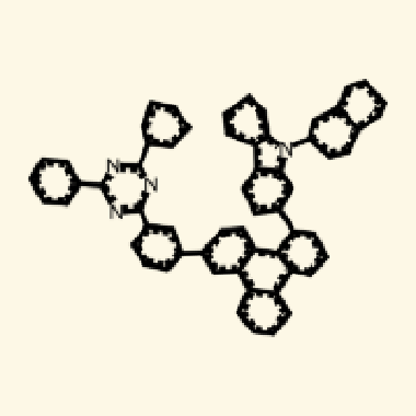 c1ccc(-c2nc(-c3ccccc3)nc(-c3cccc(-c4ccc5c(c4)c4ccccc4c4cccc(-c6ccc7c8ccccc8n(-c8ccc9ccccc9c8)c7c6)c45)c3)n2)cc1